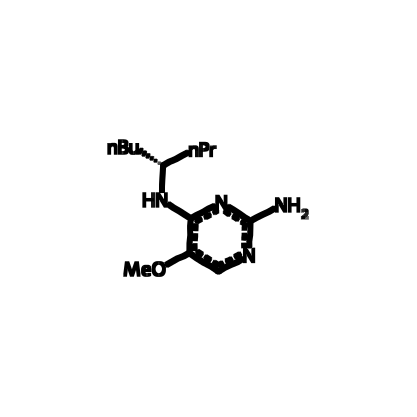 CCCC[C@H](CCC)Nc1nc(N)ncc1OC